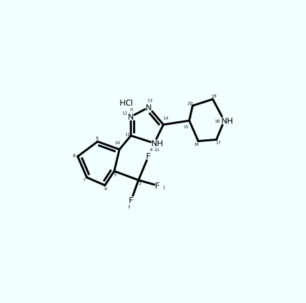 Cl.FC(F)(F)c1ccccc1-c1nnc(C2CCNCC2)[nH]1